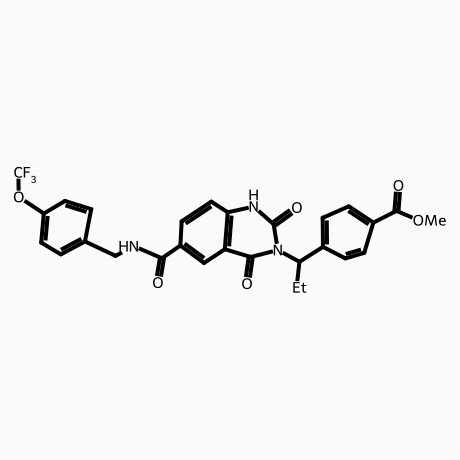 CCC(c1ccc(C(=O)OC)cc1)n1c(=O)[nH]c2ccc(C(=O)NCc3ccc(OC(F)(F)F)cc3)cc2c1=O